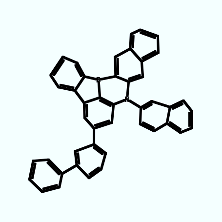 c1ccc(-c2cccc(-c3cc4c5c(c3)N(c3ccc6ccccc6c3)c3cc6ccccc6cc3B5c3ccccc3-4)c2)cc1